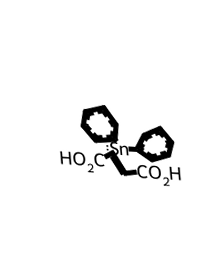 O=C(O)C=CC(=O)O.c1cc[c]([Sn][c]2ccccc2)cc1